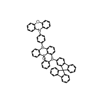 O=P12c3ccccc3B(c3ccc(N4c5ccccc5Oc5ccccc54)cc3)c3cccc(c31)B(c1ccc3c(c1)C1(c4ccccc4-c4ccccc41)c1ccccc1-3)c1ccccc12